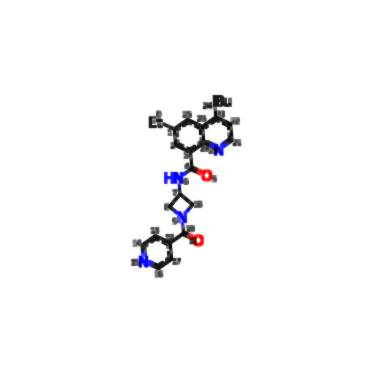 CCc1cc(C(=O)NC2CN(C(=O)c3ccncc3)C2)c2nccc(C(C)CC)c2c1